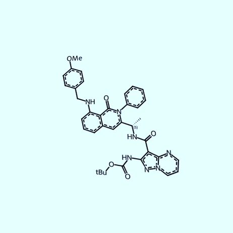 COc1ccc(CNc2cccc3cc([C@H](C)NC(=O)c4c(NC(=O)OC(C)(C)C)nn5cccnc45)n(-c4ccccc4)c(=O)c23)cc1